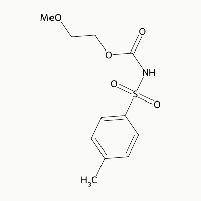 COCCOC(=O)NS(=O)(=O)c1ccc(C)cc1